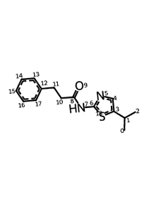 CC(C)c1cnc(NC(=O)CCc2ccccc2)s1